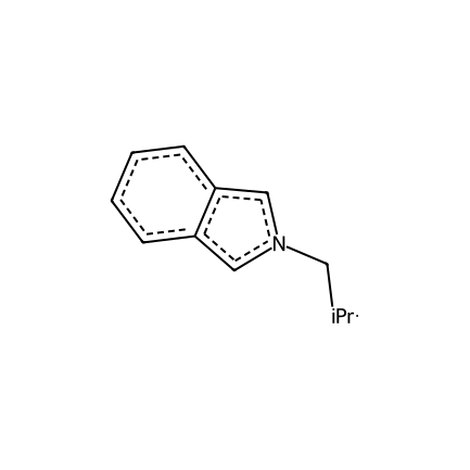 C[C](C)Cn1cc2ccccc2c1